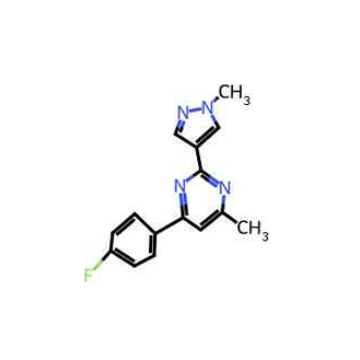 Cc1cc(-c2ccc(F)cc2)nc(-c2cnn(C)c2)n1